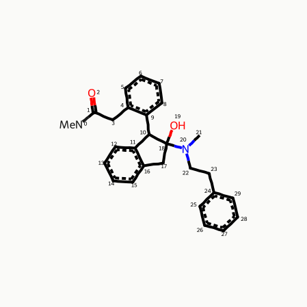 CNC(=O)Cc1ccccc1C1c2ccccc2CC1(O)N(C)CCc1ccccc1